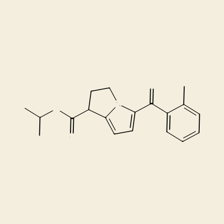 Cc1ccccc1C(=O)c1ccc2n1CCC2C(=O)OC(C)C